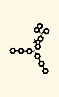 CC1(C)c2cc(N(c3ccc(-c4ccc(-c5ccccc5)cc4)cc3)c3ccc(-c4ccc(-c5ccccc5)cc4)cc3)ccc2-c2ccc(N(c3ccccc3)c3cccc4ccccc34)cc21